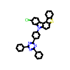 Clc1ccc2c3c4c(ccc3n(-c3ccc(-c5nc(-c6ccccc6)nc(-c6ccccc6)n5)cc3)c2c1)sc1ccccc14